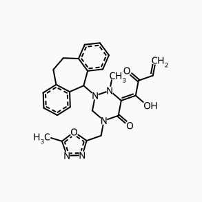 C=CC(=O)/C(O)=C1/C(=O)N(Cc2nnc(C)o2)CN(C2c3ccccc3CCc3ccccc32)N1C